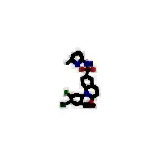 COc1cc(Br)c(F)cc1-n1c(=O)ccc2cc(S(=O)(=O)Nc3cccc(C)n3)ccc21